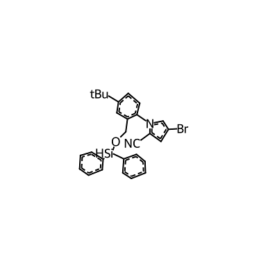 CC(C)(C)c1ccc(-n2cc(Br)cc2C#N)c(CO[SiH](c2ccccc2)c2ccccc2)c1